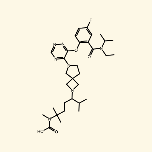 CCN(C(=O)c1cc(F)ccc1Oc1nncnc1N1CCC2(C1)CN(C(CCC(C)(C)N(C)C(=O)O)C(C)C)C2)C(C)C